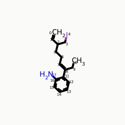 C=CC(CI)CCC=C(CC)c1ccccc1N